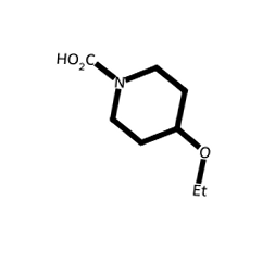 CCOC1CCN(C(=O)O)CC1